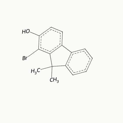 CC1(C)c2ccccc2-c2ccc(O)c(Br)c21